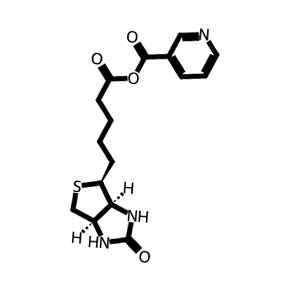 O=C1N[C@H]2[C@H](CS[C@H]2CCCCC(=O)OC(=O)c2cccnc2)N1